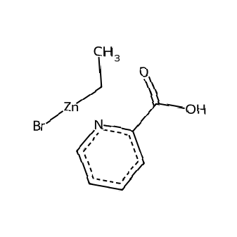 C[CH2][Zn][Br].O=C(O)c1ccccn1